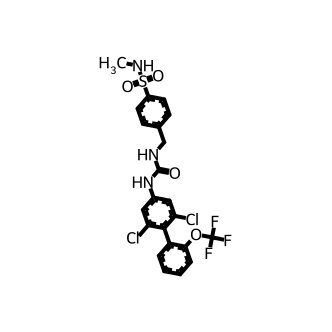 CNS(=O)(=O)c1ccc(CNC(=O)Nc2cc(Cl)c(-c3ccccc3OC(F)(F)F)c(Cl)c2)cc1